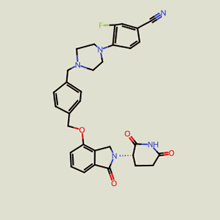 N#Cc1ccc(N2CCN(Cc3ccc(COc4cccc5c4CN([C@H]4CCC(=O)NC4=O)C5=O)cc3)CC2)c(F)c1